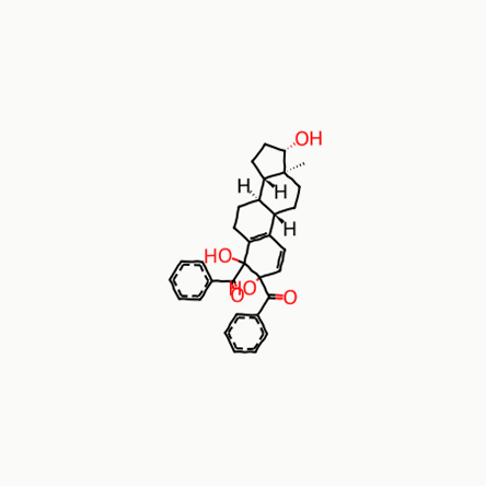 C[C@]12CC[C@@H]3C4=C(CC[C@H]3[C@@H]1CC[C@@H]2O)C(O)(C(=O)c1ccccc1)C(O)(C(=O)c1ccccc1)C=C4